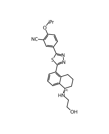 CC(C)Oc1ccc(-c2nnc(-c3cccc4c3CCC[C@H]4NCCO)s2)cc1C#N